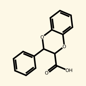 O=C(O)C1Oc2ccccc2OC1c1ccccc1